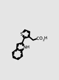 O=C(O)Cc1ccsc1-c1cc2ccccc2[nH]1